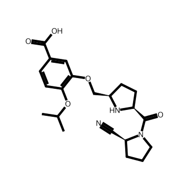 CC(C)Oc1ccc(C(=O)O)cc1OC[C@H]1CC[C@@H](C(=O)N2CCC[C@H]2C#N)N1